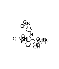 CC(C)(C)NS(=O)(=O)c1cc(N=Nc2ccc(S(=O)(=O)Cl)cc2)c2c(NS(=O)(=O)N3CCOCC3)cccc2c1O